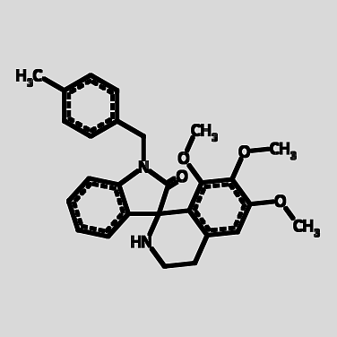 COc1cc2c(c(OC)c1OC)C1(NCC2)C(=O)N(Cc2ccc(C)cc2)c2ccccc21